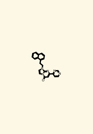 O=c1cc(-c2ccncn2)nc2n(CCc3cccc4ccccc34)ccn12